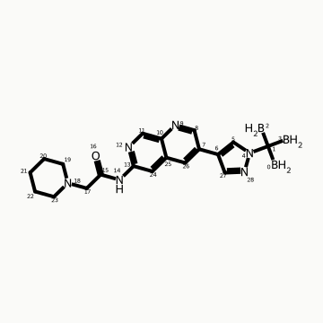 BC(B)(B)n1cc(-c2cnc3cnc(NC(=O)CN4CCCCC4)cc3c2)cn1